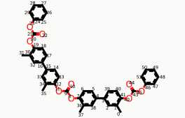 Cc1cc(-c2ccc(OC(=O)Oc3ccc(-c4ccc(OC(=O)Oc5ccccc5)c(C)c4)cc3C)c(C)c2)ccc1OC(=O)Oc1ccccc1